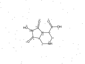 O=C(O)C1CNCC2C(=O)N(O)C(=O)N12